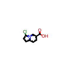 O=C(O)c1ccc2ccc(Cl)n2c1